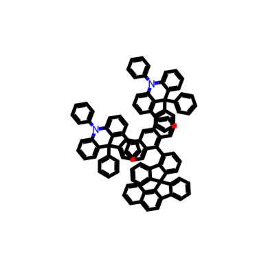 c1ccc(N2c3ccccc3C(c3ccccc3)(c3ccccc3)c3c(-c4cccc5c(-c6cccc7c6-c6ccccc6C76c7ccccc7-c7ccc8ccccc8c76)c6cccc(-c7cccc8c7C(c7ccccc7)(c7ccccc7)c7ccccc7N8c7ccccc7)c6cc45)cccc32)cc1